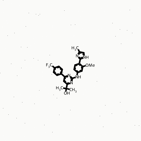 COc1cc(Nc2nc(-c3ccc(C(F)(F)F)cc3)cc(C(C)(C)O)n2)ccc1-c1nc(C)c[nH]1